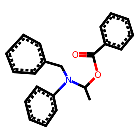 CC(OC(=O)c1ccccc1)N(Cc1ccccc1)c1ccccc1